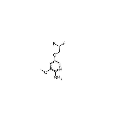 COc1cc(OCC(F)F)cnc1N